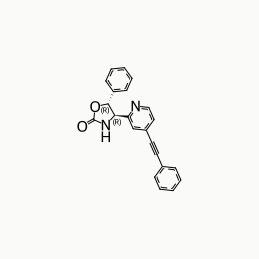 O=C1N[C@H](c2cc(C#Cc3ccccc3)ccn2)[C@@H](c2ccccc2)O1